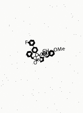 COc1ccc(CN([C@H]2CCN(C(=O)OCc3ccccc3)[C@H]2CO[C@H]2CC[C@@H](c3cccc(F)c3)CC2)S(C)(=O)=O)cc1